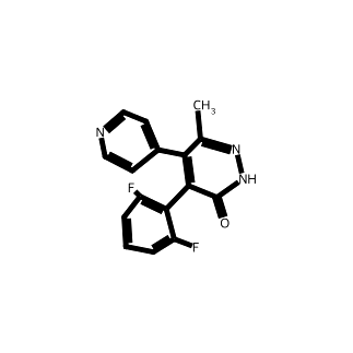 Cc1n[nH]c(=O)c(-c2c(F)cccc2F)c1-c1ccncc1